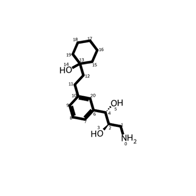 NC[C@@H](O)[C@@H](O)c1cccc(CCC2(O)CCCCC2)c1